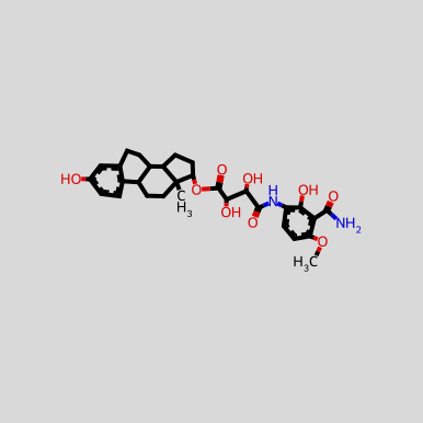 COc1ccc(NC(=O)C(O)C(O)C(=O)OC2CCC3C4CCc5cc(O)ccc5C4CCC23C)c(O)c1C(N)=O